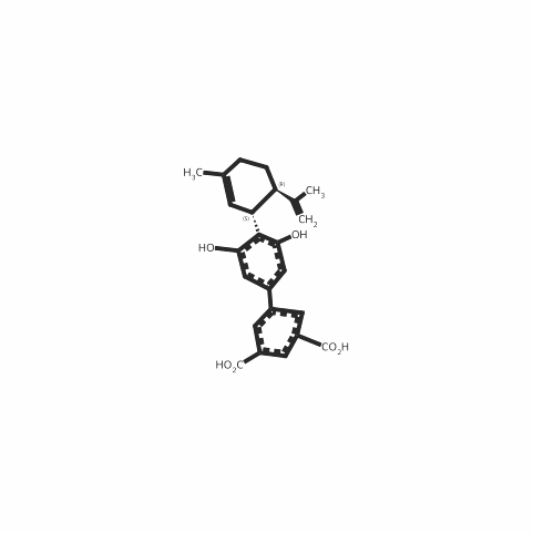 C=C(C)[C@@H]1CCC(C)=C[C@H]1c1c(O)cc(-c2cc(C(=O)O)cc(C(=O)O)c2)cc1O